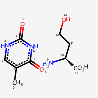 Cc1c[nH]c(=O)[nH]c1=O.N[C@@H](CCO)C(=O)O